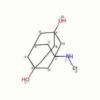 CCNC12CC3CC(O)(CC(O)(C3)C1)C2